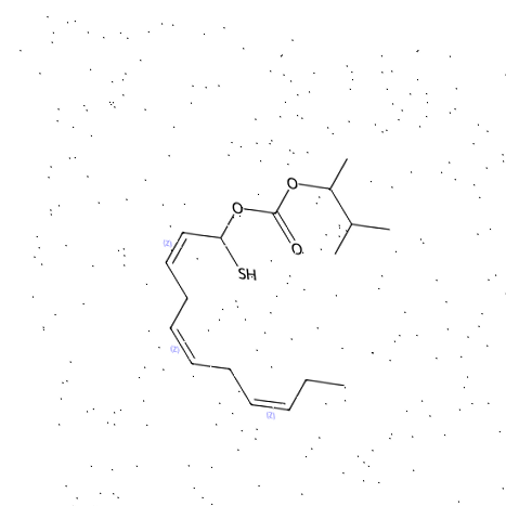 CC/C=C\C/C=C\C/C=C\C(S)OC(=O)OC(C)C(C)C